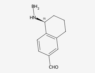 BN[C@H]1CCCc2cc(C=O)ccc21